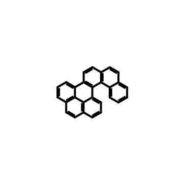 c1ccc2c(c1)ccc1ccc3c4cccc5ccc6cccc(c6c54)c3c12